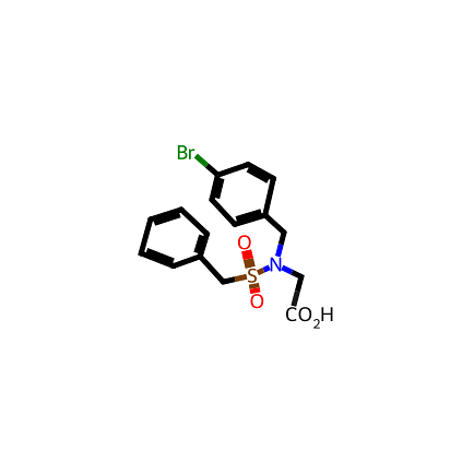 O=C(O)CN(Cc1ccc(Br)cc1)S(=O)(=O)Cc1ccccc1